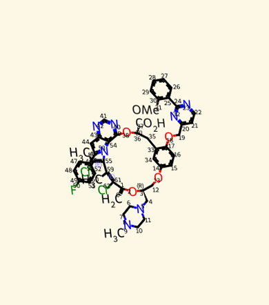 C=C1O[C@H](CN2CCN(C)CC2)COc2ccc(OCc3ccnc(-c4ccccc4OC)n3)c(c2)C[C@H](C(=O)O)Oc2ncnc3cc(-c4ccc(F)cc4)n(c23)C(=C(\C)Cl)/C(C)=C\1Cl